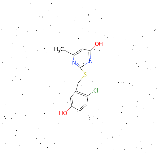 Cc1cc(O)nc(SCc2cc(O)ccc2Cl)n1